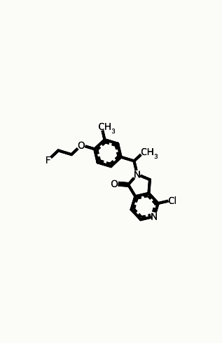 Cc1cc(C(C)N2Cc3c(ccnc3Cl)C2=O)ccc1OCCF